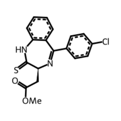 COC(=O)C[C@@H]1N=C(c2ccc(Cl)cc2)c2ccccc2NC1=S